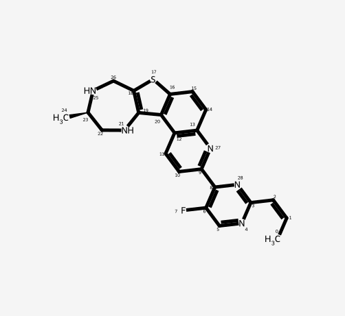 C/C=C\c1ncc(F)c(-c2ccc3c(ccc4sc5c(c43)NC[C@@H](C)NC5)n2)n1